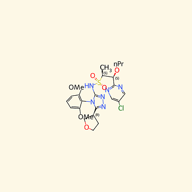 CCCO[C@@H](c1ncc(Cl)cn1)[C@H](C)S(=O)(=O)Nc1nnc([C@H]2CCOC2)n1-c1c(OC)cccc1OC